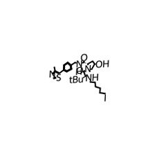 Cc1ncsc1-c1ccc(CNC(=O)[C@@H]2C[C@@H](O)CN2C(=O)[C@@H](NCCCCCCI)C(C)(C)C)cc1